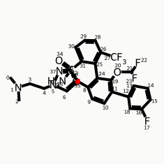 CN(C)CCn1cc(-c2ccc(-c3cccc(F)c3)c(OC(F)F)c2-c2c(C(F)(F)F)cccc2S(N)(=O)=O)cn1